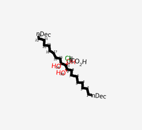 CCCCCCCCCCCCCCCCCCC(O)C(O)C(O)CCCCCCCCCCCCCCCCCC.O=C(O)Cl